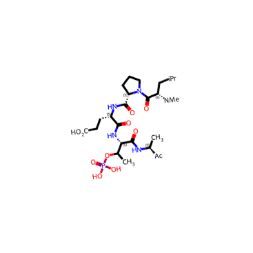 CN[C@@H](CC(C)C)C(=O)N1CCC[C@H]1C(=O)N[C@@H](CCC(=O)O)C(=O)N[C@H](C(=O)N[C@@H](C)C(C)=O)C(C)OP(=O)(O)O